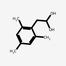 Cc1cc(C)c(CC(O)O)c(C)c1